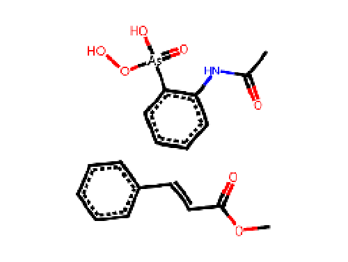 CC(=O)Nc1ccccc1[As](=O)(O)OO.COC(=O)C=Cc1ccccc1